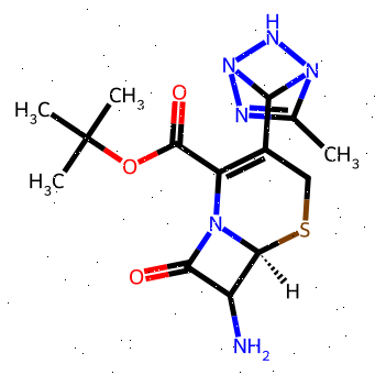 CC1=NN2NN1C2C1=C(C(=O)OC(C)(C)C)N2C(=O)C(N)[C@@H]2SC1